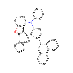 c1ccc(N(c2ccc(-c3cc4ccccc4c4ccccc34)cc2)c2cccc3oc4c5ccccc5ccc4c23)cc1